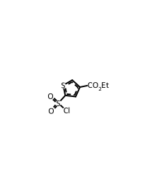 CCOC(=O)c1csc(S(=O)(=O)Cl)c1